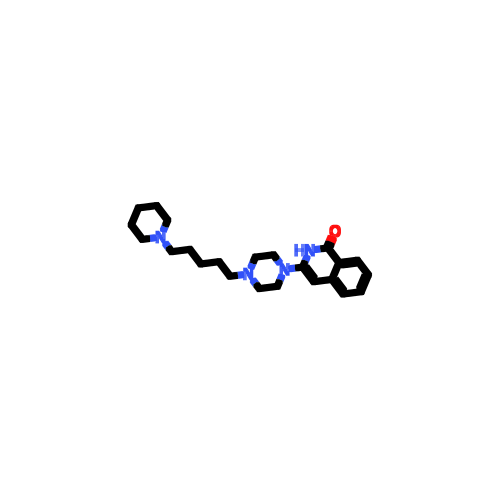 O=c1[nH]c(N2CCN(CCCCCN3CCCCC3)CC2)cc2ccccc12